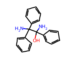 NC(O)(c1ccccc1)C(N)(c1ccccc1)c1ccccc1